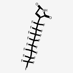 O=C1C=C(C(F)(F)C(F)(F)C(F)(F)C(F)(F)C(F)(F)C(F)(F)C(F)(F)C(F)(F)F)C(=O)N1